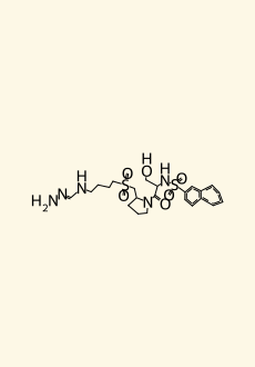 NN=CNCCCCS(=O)(=O)CC1CCCN1C(=O)C(CO)NS(=O)(=O)c1ccc2ccccc2c1